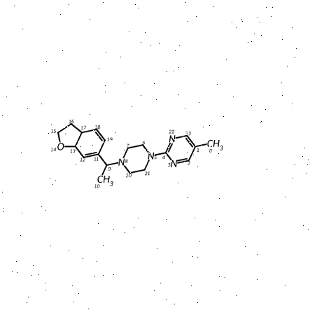 Cc1cnc(N2CCN(C(C)C3=CC4OCCC4C=C3)CC2)nc1